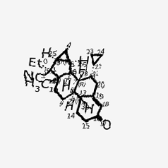 CC[C@]1(C#N)[C@H]2C[C@H]2[C@H]2[C@H]3[C@H](CC[C@@]21C)[C@H]1CCC(=O)C=C1C[C@H]3C1CC1